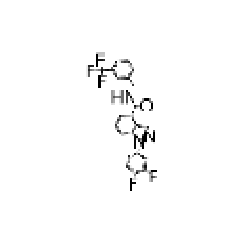 O=C(NCc1cccc(C(F)(F)F)c1)c1cccc2c1cnn2-c1ccc(F)c(F)c1